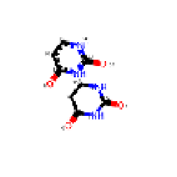 O=C1CCNC(=O)N1.O=c1cc[nH]c(=O)[nH]1